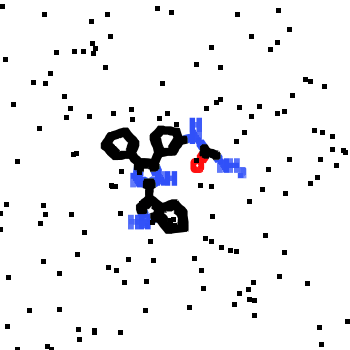 NCC(=O)NC1=CC(c2[nH]c(-c3c[nH]c4ccccc34)nc2C2=CCCC=C2)=CCC1